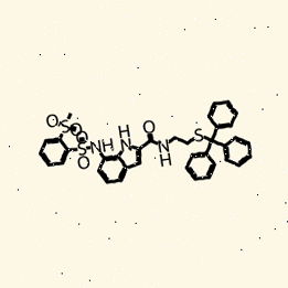 CS(=O)(=O)c1ccccc1S(=O)(=O)Nc1cccc2cc(C(=O)NCCSC(c3ccccc3)(c3ccccc3)c3ccccc3)[nH]c12